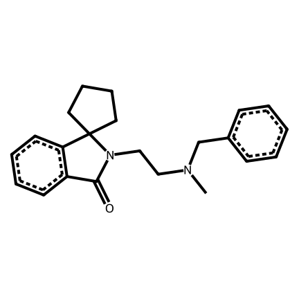 CN(CCN1C(=O)c2ccccc2C12CCCC2)Cc1ccccc1